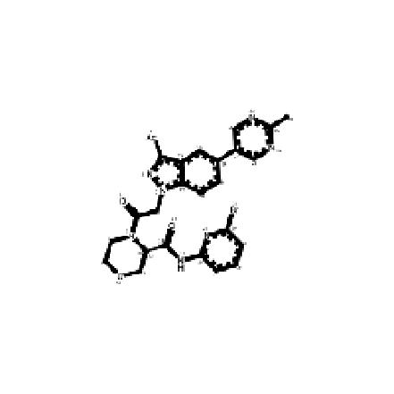 CC(=O)c1nn(CC(=O)N2CCOC[C@@H]2C(=O)Nc2cccc(Br)n2)c2ccc(-c3cnc(C)nc3)cc12